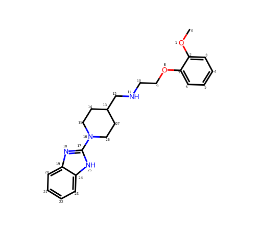 COc1ccccc1OCCNCC1CCN(c2nc3ccccc3[nH]2)CC1